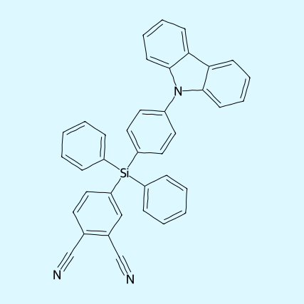 N#Cc1ccc([Si](c2ccccc2)(c2ccccc2)c2ccc(-n3c4ccccc4c4ccccc43)cc2)cc1C#N